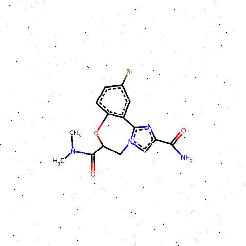 CN(C)C(=O)C1Cn2cc(C(N)=O)nc2-c2cc(Br)ccc2O1